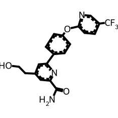 NC(=O)c1cc(CCO)cc(-c2ccc(Oc3ccc(C(F)(F)F)cn3)cc2)n1